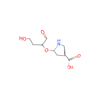 O=CC(CCO)OC1CC(C(=O)O)CN1